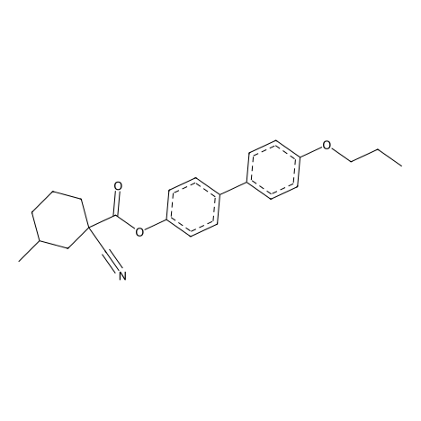 CCCOc1ccc(-c2ccc(OC(=O)C3(C#N)CCCC(C)C3)cc2)cc1